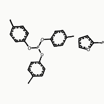 Cc1ccc(OP(Oc2ccc(C)cc2)Oc2ccc(C)cc2)cc1.Pc1ccco1